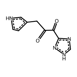 O=C(Cc1cc[nH]c1)C(=O)c1nc[nH]n1